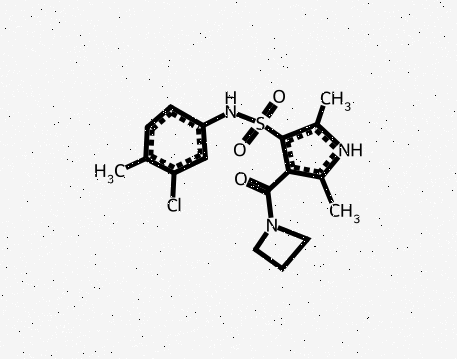 Cc1ccc(NS(=O)(=O)c2c(C)[nH]c(C)c2C(=O)N2CCC2)cc1Cl